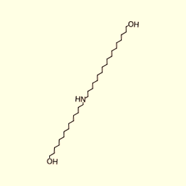 OCCCCCCCCCCCCCCCCCCNCCCCCCCCCCCCCCO